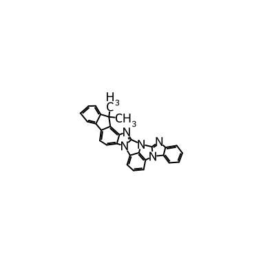 CC1(C)c2ccccc2-c2ccc3c(nc4n3c3cccc5c3n4c3nc4ccccc4n53)c21